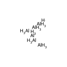 [AlH3].[AlH3].[AlH3].[AlH3].[AlH3].[AlH3].[H]